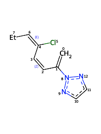 C=C(/C=C\C(Cl)=C/CC)n1nccn1